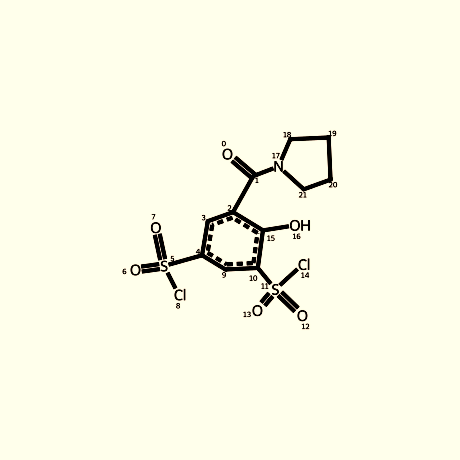 O=C(c1cc(S(=O)(=O)Cl)cc(S(=O)(=O)Cl)c1O)N1CCCC1